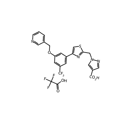 O=C(O)C(F)(F)F.O=C(O)c1cnn(Cc2nc(-c3cc(OCc4cccnc4)cc(C(F)(F)F)c3)cs2)c1